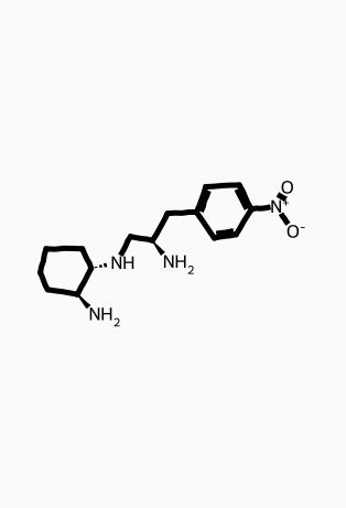 N[C@@H](CN[C@H]1CCCC[C@@H]1N)Cc1ccc([N+](=O)[O-])cc1